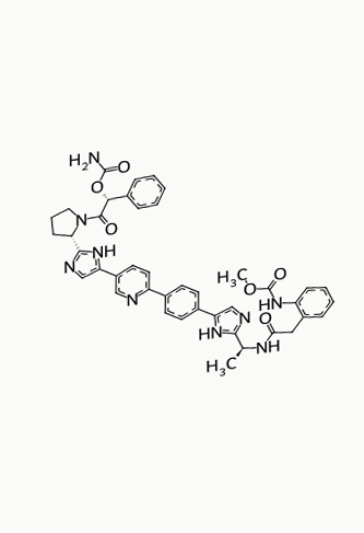 COC(=O)Nc1ccccc1CC(=O)N[C@@H](C)c1ncc(-c2ccc(-c3ccc(-c4cnc([C@@H]5CCCN5C(=O)[C@H](OC(N)=O)c5ccccc5)[nH]4)cn3)cc2)[nH]1